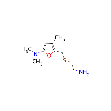 Cc1cc(N(C)C)oc1CSCCN